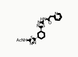 CC(=O)Nc1nnc([C@H]2CCC[C@H](c3nnc(NC(=O)Cc4ccccn4)s3)C2)s1